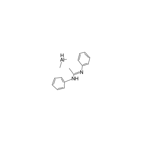 C/C(=N\c1ccccc1)Nc1ccccc1.[CH3][AlH][CH3]